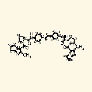 Cc1nc2n(c1C(=O)N1CCC[C@H]1C(=O)Nc1ccc(/C=C/c3ccc(NC(=O)[C@@H]4CCCN4C(=O)c4c(C)nc5sccn45)cc3)cc1)C=CC2